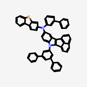 c1ccc(-c2cccc(N(c3ccc4c(c3)sc3ccccc34)c3ccc4c(c3)c3c(n4-c4cc(-c5ccccc5)cc(-c5ccccc5)c4)-c4cccc5cccc-3c45)c2)cc1